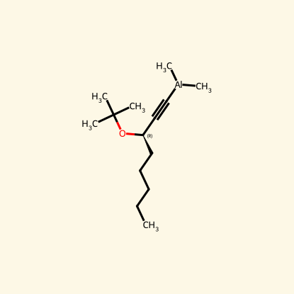 CCCCC[C@H](C#[C][Al]([CH3])[CH3])OC(C)(C)C